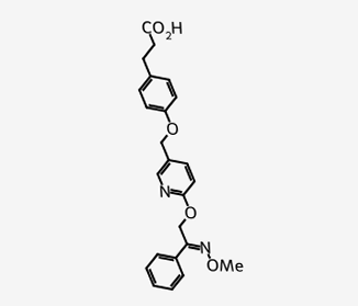 CON=C(COc1ccc(COc2ccc(CCC(=O)O)cc2)cn1)c1ccccc1